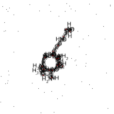 Cn1cc(C[C@H]2NC(=O)[C@@H](CCCNC(=N)N)NC(=O)[C@@H](Cc3ccccc3)NC(=O)[C@@H](CO)NC(=O)[C@@H](CC(N)=O)NC(=O)[C@@H](NC(=O)COCCOCCOCCNC(=O)CCCCC3SCC4NC(=O)NC43)Cc3cn(nn3)CCCC[C@@H](C(N)=O)NC2=O)c2ccccc21